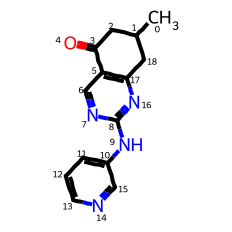 CC1CC(=O)c2cnc(Nc3cccnc3)nc2C1